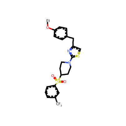 CCOc1ccc(Cc2csc(N3CCC(S(=O)(=O)c4cccc(C(F)(F)F)c4)CC3)n2)cc1